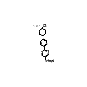 CCCCCCCCCC[C@]1(C#N)CC[C@H](c2ccc(-c3ncc(CCCCCCC)cn3)cc2)CC1